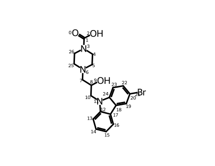 O=C(O)N1CCN(CC(O)Cn2c3ccccc3c3cc(Br)ccc32)CC1